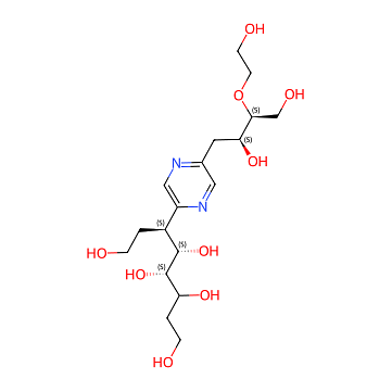 OCCO[C@@H](CO)[C@@H](O)Cc1cnc([C@H](CCO)[C@H](O)[C@@H](O)C(O)CCO)cn1